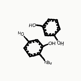 CCCCc1ccc(O)cc1O.Oc1cccc(O)c1